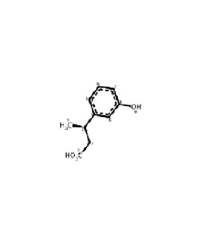 C[C@H](CC(=O)O)c1cccc(O)c1